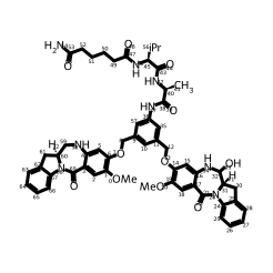 COc1cc2c(cc1OCc1cc(COc3cc4c(cc3OC)C(=O)N3c5ccccc5C[C@H]3C(O)N4)cc(NC(=O)[C@H](C)NC(=O)[C@@H](NC(=O)CCCCC(N)=O)C(C)C)c1)NC[C@@H]1Cc3ccccc3N1C2=O